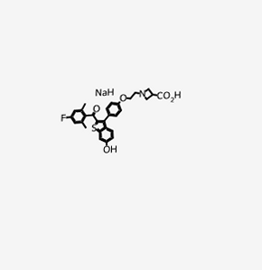 Cc1cc(F)cc(C)c1C(=O)c1sc2cc(O)ccc2c1-c1ccc(OCCN2CC(C(=O)O)C2)cc1.[NaH]